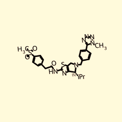 CC(C)[C@H]1c2nc(NC(=O)Cc3ccc(S(C)(=O)=O)cc3)sc2CN1Cc1ccc(-c2nnnn2C)cc1